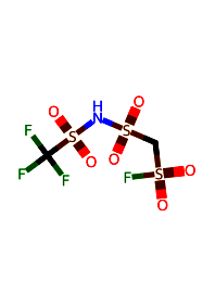 O=S(=O)(F)CS(=O)(=O)NS(=O)(=O)C(F)(F)F